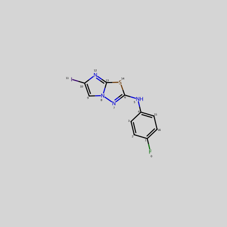 Fc1ccc(Nc2nn3cc(I)nc3s2)cc1